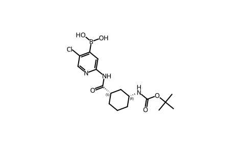 CC(C)(C)OC(=O)N[C@@H]1CCC[C@H](C(=O)Nc2cc(B(O)O)c(Cl)cn2)C1